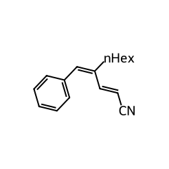 CCCCCCC(C=CC#N)=Cc1ccccc1